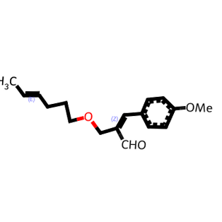 C/C=C/CCCOC/C(C=O)=C/c1ccc(OC)cc1